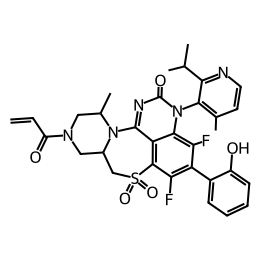 C=CC(=O)N1CC(C)N2c3nc(=O)n(-c4c(C)ccnc4C(C)C)c4c(F)c(-c5ccccc5O)c(F)c(c34)S(=O)(=O)CC2C1